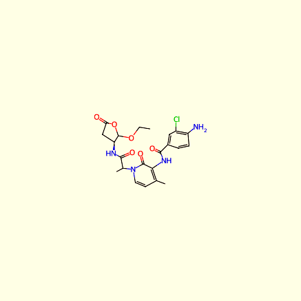 CCOC1OC(=O)C[C@@H]1NC(=O)C(C)n1ccc(C)c(NC(=O)c2ccc(N)c(Cl)c2)c1=O